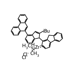 CCC(C)C1=Cc2c(-c3cc4ccccc4c4ccccc34)cccc2C1c1[c]([Zr+2][SiH](C)C)ccc2c1Cc1ccccc1-2.[Cl-].[Cl-]